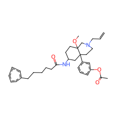 C=CCN1CCC2(c3cccc(OC(C)=O)c3)CC(NC(=O)CCCCCc3ccccc3)CCC2(OC)C1